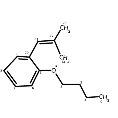 CCCCOc1ccccc1C=C(C)C